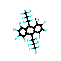 Fc1c(F)c(F)c2c(C(F)(F)C(F)(F)C(F)(F)F)c3[c]([Ga])c(F)c(F)c(F)c3c(C(F)(F)C(F)(F)C(F)(F)F)c2c1F